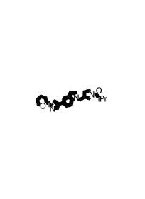 CC(C)C(=O)N1CCC(Cn2ccc3cc(-c4cnn(C5CCCCO5)c4)ccc32)C1